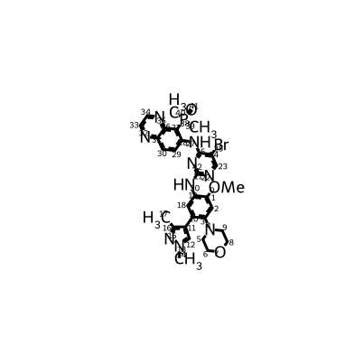 COc1cc(N2CCOCC2)c(-c2cn(C)nc2C)cc1Nc1ncc(Br)c(Nc2ccc3nccnc3c2P(C)(C)=O)n1